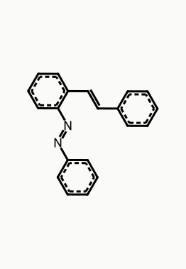 C(=Cc1ccccc1N=Nc1ccccc1)c1ccccc1